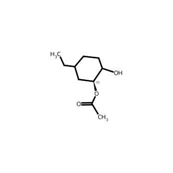 CCC1CCC(O)[C@@H](OC(C)=O)C1